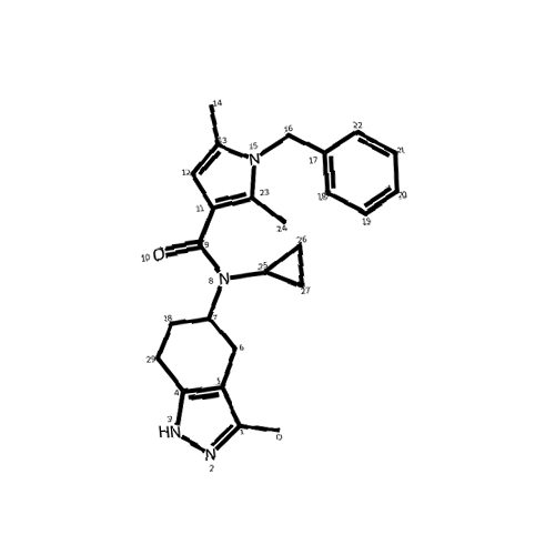 Cc1n[nH]c2c1CC(N(C(=O)c1cc(C)n(Cc3ccccc3)c1C)C1CC1)CC2